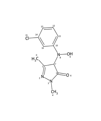 CC1=NN(C)C(=O)C1N(O)c1cccc(Cl)c1